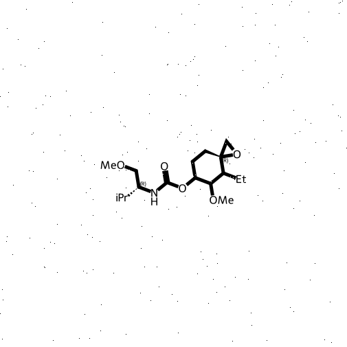 CCC1C(OC)C(OC(=O)N[C@@H](COC)C(C)C)CC[C@]12CO2